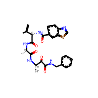 C=C(C)[C@H](NC(=O)c1ccc2ncsc2c1)C(=O)N[C@@H](C)C(=O)N[C@H](C(=O)C(=O)NCc1ccccc1)C(C)C